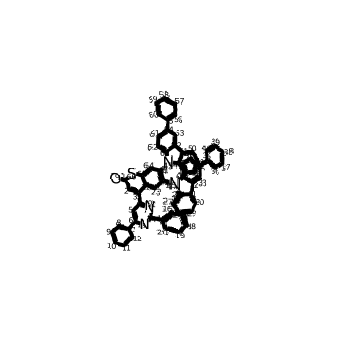 O=c1cc(-c2cc(-c3ccccc3)nc(-c3ccccc3)n2)c2cc(-n3c4ccccc4c4cc(-c5ccccc5)ccc43)c(-n3c4ccccc4c4cc(-c5ccccc5)ccc43)cc2s1